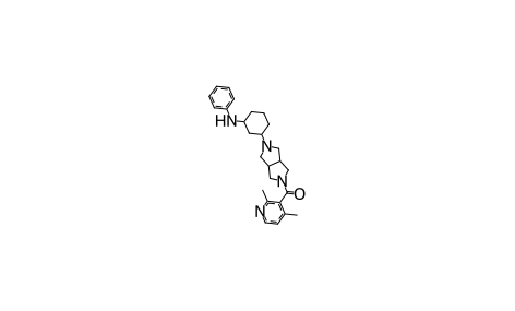 Cc1ccnc(C)c1C(=O)N1CC2CN(C3CCCC(Nc4ccccc4)C3)CC2C1